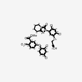 C#CCOc1cc(-n2nc3n(c2=O)CCCC3)c(Cl)cc1Cl.COC(=O)c1cc(Oc2ccc(Cl)cc2Cl)ccc1[N+](=O)[O-]